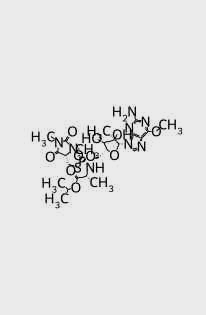 COc1nc(N)nc2c1ncn2[C@@H]1O[C@H](COP(=O)(N[C@H](C)C(=O)OC(C)C)SC[C@@H]2C(=O)N(C)C(=O)N2C)[C@@H](O)[C@@]1(C)O